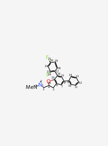 CNN(C)CC1Cc2cc(-c3ccccc3)cc(-c3ccc(F)cc3F)c2O1